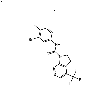 Cc1ccc(NC(=O)N2CCc3c2cccc3C(F)(F)F)cc1Br